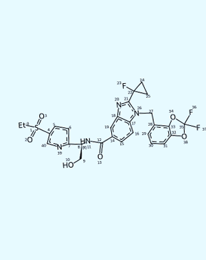 CCS(=O)(=O)c1ccc([C@H](CO)NC(=O)c2ccc3c(c2)nc(C2(F)CC2)n3Cc2cccc3c2OC(F)(F)O3)nc1